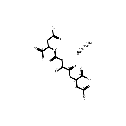 O=C([O-])CC(OC(=O)CC(O)C(=O)OC(CC(=O)[O-])C(=O)[O-])C(=O)[O-].[Na+].[Na+].[Na+].[Na+]